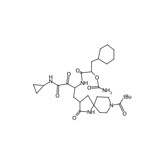 CC(C)(C)C(=O)N1CCC2(CC1)CC(CC(NC(=O)C(CC1CCCCC1)OC(N)=O)C(=O)C(=O)NC1CC1)C(=O)N2